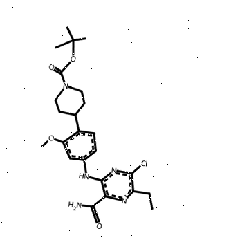 CCc1nc(C(N)=O)c(Nc2ccc(C3CCN(C(=O)OC(C)(C)C)CC3)c(OC)c2)nc1Cl